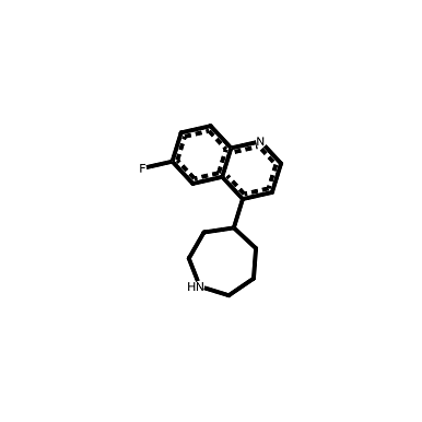 Fc1ccc2nccc(C3CCCNCC3)c2c1